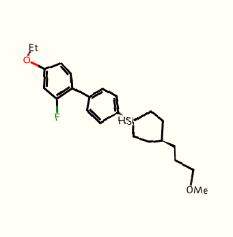 CCOc1ccc(-c2ccc([Si@H]3CC[C@H](CCCOC)CC3)cc2)c(F)c1